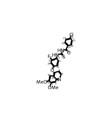 COc1cc2nccc(Oc3ccc(NC(=S)NC(=O)c4ccc(Cl)cc4)c(F)c3)c2cc1OC